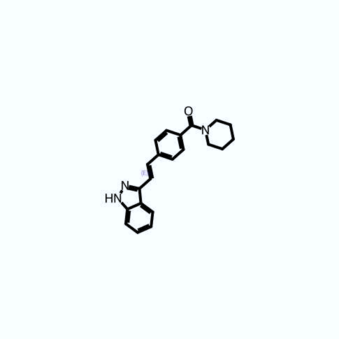 O=C(c1ccc(/C=C/c2n[nH]c3ccccc23)cc1)N1CCCCC1